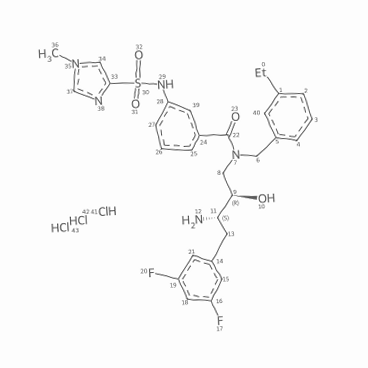 CCc1cccc(CN(C[C@@H](O)[C@@H](N)Cc2cc(F)cc(F)c2)C(=O)c2cccc(NS(=O)(=O)c3cn(C)cn3)c2)c1.Cl.Cl.Cl